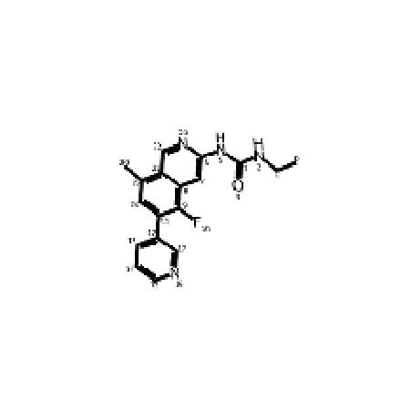 CCNC(=O)Nc1cc2c(F)c(-c3cccnc3)cc(C)c2cn1